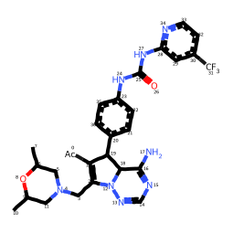 CC(=O)C1=C(CN2CC(C)OC(C)C2)N2N=CN=C(N)C2C1c1ccc(NC(=O)Nc2cc(C(F)(F)F)ccn2)cc1